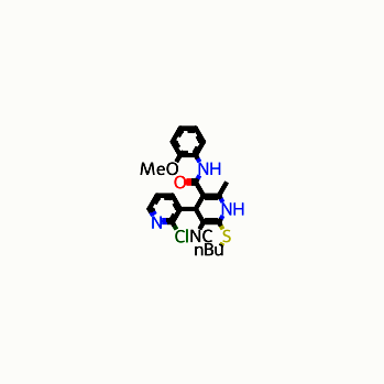 CCCCSC1=C(C#N)C(c2cccnc2Cl)C(C(=O)Nc2ccccc2OC)=C(C)N1